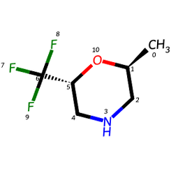 C[C@H]1CNC[C@H](C(F)(F)F)O1